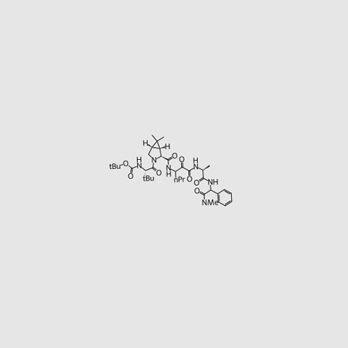 CCCC(NC(=O)[C@@H]1[C@@H]2[C@H](CN1C(=O)[C@@H](NC(=O)OC(C)(C)C)C(C)(C)C)C2(C)C)C(=O)C(=O)N[C@@H](C)C(=O)NC(C(=O)NC)c1ccccc1